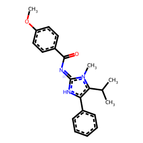 COc1ccc(C(=O)/N=c2/[nH]c(-c3ccccc3)c(C(C)C)n2C)cc1